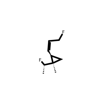 C[C@H](F)[C@]1(C)C[C@@H]1/C=C\CF